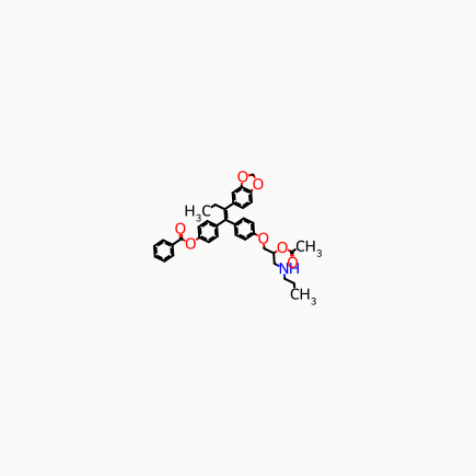 CCCNCC(COc1ccc(/C(=C(/CC)c2ccc3c(c2)OCO3)c2ccc(OC(=O)c3ccccc3)cc2)cc1)OC(C)=O